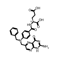 Nc1nc(=O)c2nc(CN(Cc3ccccc3)c3ccc(C(=O)N[C@@H](CCC(=O)O)C(=O)O)cc3)cnc2[nH]1